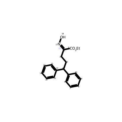 CCOC(=O)/C(CCC(c1ccccc1)c1ccccc1)=N\O